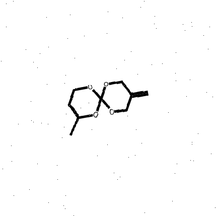 C=C1COC2(OCCC(C)O2)OC1